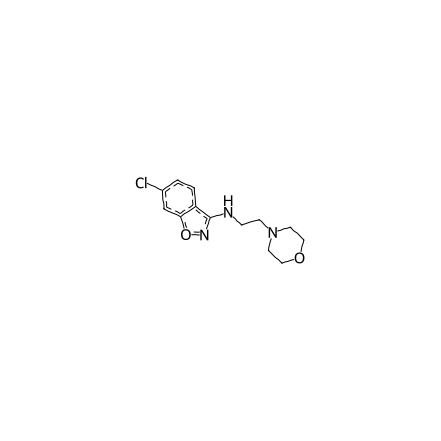 Clc1ccc2c(NCCN3CCOCC3)noc2c1